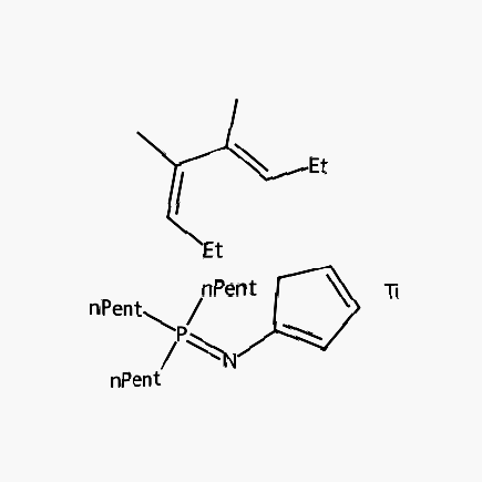 CCC=C(C)C(C)=CCC.CCCCCP(CCCCC)(CCCCC)=NC1=CC=CC1.[Ti]